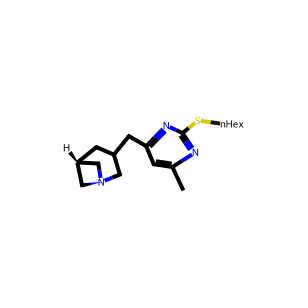 CCCCCCSc1nc(C)cc(CC2C[C@H]3C[N@](C2)C3)n1